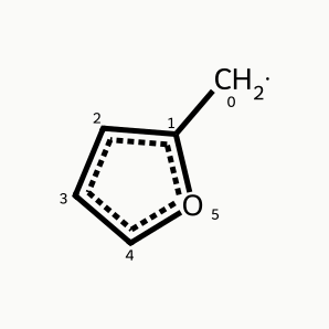 [CH2]c1ccco1